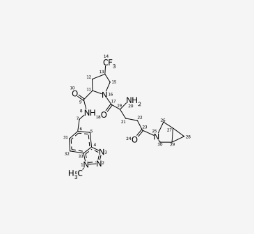 Cn1nnc2cc(CNC(=O)C3CC(C(F)(F)F)CN3C(=O)C(N)CCC(=O)N3CC4CC4C3)ccc21